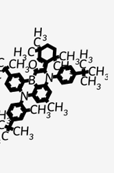 Cc1cc2c3c(c1)N(c1ccc(C(C)(C)C)cc1)c1c(oc4c1C(C)(C)CCC4(C)C)B3c1cc(C(C)(C)C)ccc1N2c1ccc(C(C)(C)C)cc1C